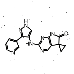 O=C1Nc2nc(Nc3c[nH]nc3-c3cccnc3)ncc2C12CC2